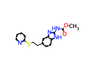 COC(=O)Nc1nc2cc(CCSc3ccccn3)ccc2[nH]1